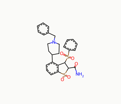 NC(=O)C1C(S(=O)(=O)c2ccccc2)c2c(C3CCN(Cc4ccccc4)CC3)cccc2S1(=O)=O